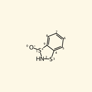 [O-][S+]1NSc2ccccc21